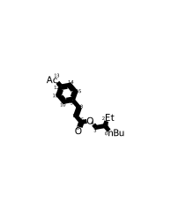 CCCCC(CC)COC(=O)C=Cc1ccc(C(C)=O)cc1